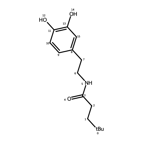 CC(C)(C)CCC(=O)NCCc1ccc(O)c(O)c1